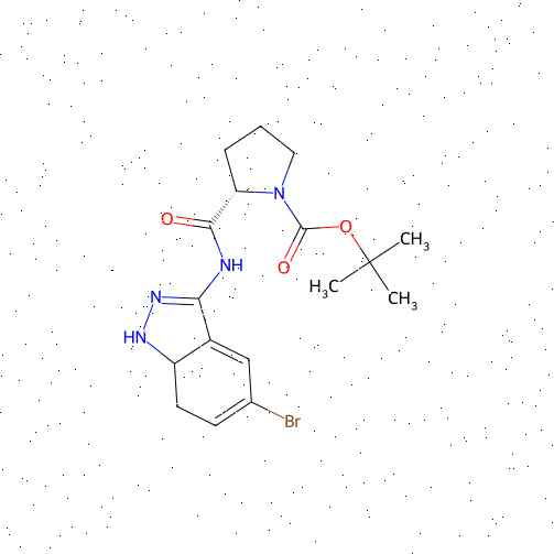 CC(C)(C)OC(=O)N1CCC[C@H]1C(=O)NC1=NNC2CC=C(Br)C=C12